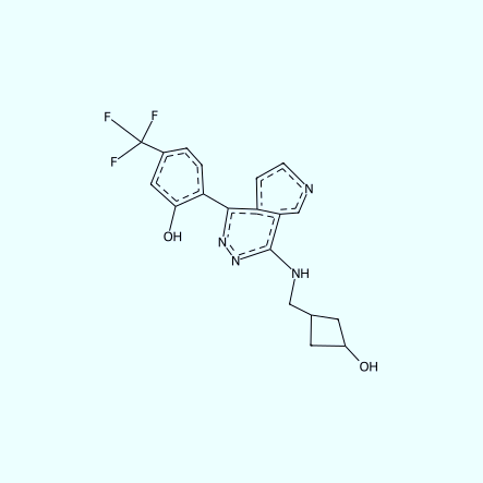 Oc1cc(C(F)(F)F)ccc1-c1nnc(NCC2CC(O)C2)c2cnccc12